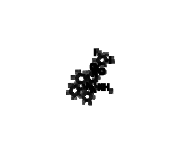 Nc1nn(C(c2ccccc2)(c2ccccc2)c2ccccc2)c2c1CN(S(=O)(=O)c1cc(F)cc(F)c1)CC2